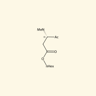 CCCCCCOC(=O)C[C@H](NC)C(C)=O